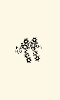 CN1CC(CCN2CCN(c3ccccc3)CC2)N(C)c2nc3ccccc3n2C1=O.CN1CC(CCN2CCN(c3ccccc3)CC2)N(C)c2nc3ccccc3n2C1=O.O